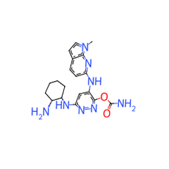 Cn1ccc2ccc(Nc3cc(N[C@@H]4CCCC[C@@H]4N)nnc3OC(N)=O)nc21